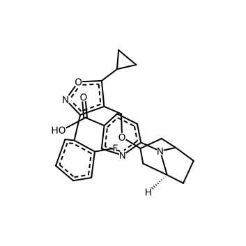 O=C(O)c1ccc(N2C3CC[C@H]2CC(OCc2c(-c4ccccc4F)noc2C2CC2)C3)nc1